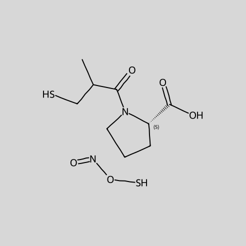 CC(CS)C(=O)N1CCC[C@H]1C(=O)O.O=NOS